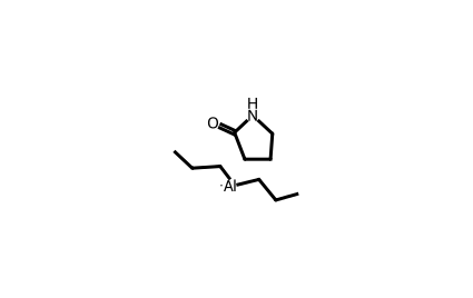 CC[CH2][Al][CH2]CC.O=C1CCCN1